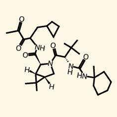 CC(=O)C(=O)C(CC1CCC1)NC(=O)[C@@H]1[C@@H]2[C@H](CN1C(=O)[C@@H](NC(=O)NC1(C)CCCCC1)C(C)(C)C)C2(C)C